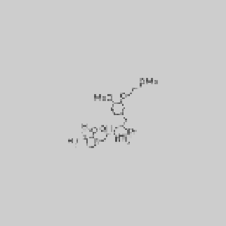 COCCCOc1cc(CC(CC(N)C(O)CN2CCC(C)(C)C2=O)C(C)C)ccc1OC.Cl